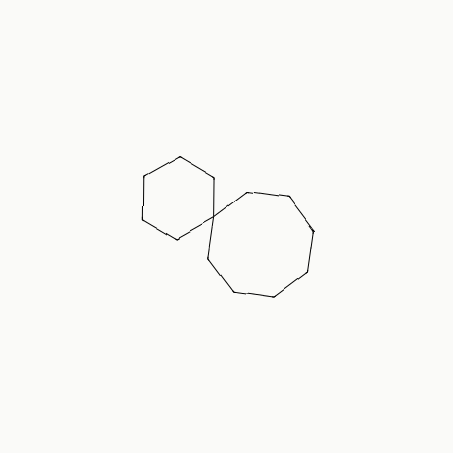 C1CCCC2(CCC1)CCCCC2